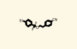 CCc1ccc(C(F)(F)OCCc2ccc(C#N)cc2)cc1